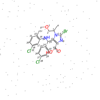 COCC(C)n1c(Br)nc(C(=O)O)c1C(Nc1cc(Cl)ccc1C)c1ccc(Cl)cc1